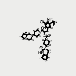 Nc1c(Cl)cc(CC(OC(=O)N2CCC(N3CCc4ccccc4NC3=O)CC2)C(=O)N2CCC(N3CCN4CCC[C@@H]4C3)CC2)cc1C(F)(F)F